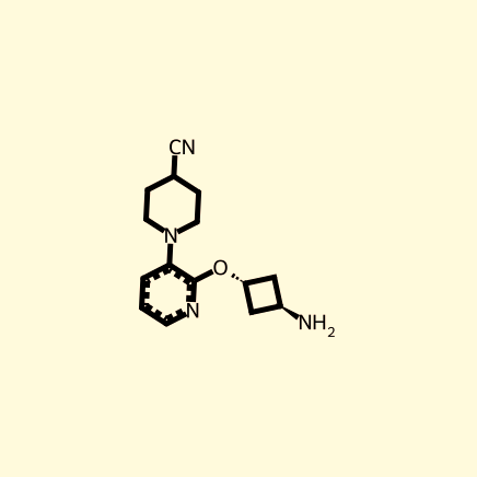 N#CC1CCN(c2cccnc2O[C@H]2C[C@H](N)C2)CC1